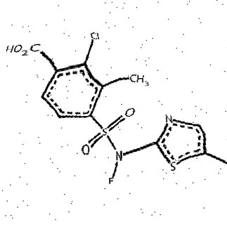 Cc1c(S(=O)(=O)N(F)c2ncc(Cl)s2)ccc(C(=O)O)c1Cl